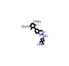 COc1cc(OC)c(Cl)c(-c2ccc3nc(NC4CC5(CNC5)C4)ncc3c2)c1C